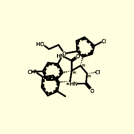 Cc1ccc(F)cc1[C@H]1NC(=O)[C@@H](Cl)[C@@H](c2cc(Cl)ccc2OCCO)[C@]12C(=O)Nc1cc(Cl)ccc12